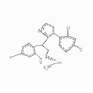 COCC(c1ccc(Cl)cc1Cl)c1nccn1-c1ccc(Cl)cc1Cl.O=[N+]([O-])O